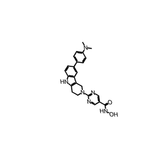 CN(C)c1ccc(-c2ccc3[nH]c4c(c3c2)CN(c2ncc(C(=O)NO)cn2)CC4)cc1